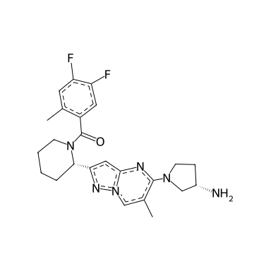 Cc1cc(F)c(F)cc1C(=O)N1CCCC[C@H]1c1cc2nc(N3CC[C@H](N)C3)c(C)cn2n1